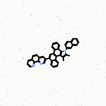 Cc1c(C)n(-c2ccc3ccccc3c2)c2c3ccccc3c3cc(-c4cnc5c(ccc6cccnc65)c4)c4ccccc4c3c12